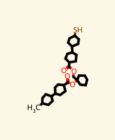 CC1CCC(C2CCC(C(=O)OC3(COC(=O)C4CCC(C5CCC(S)CC5)CC4)CCCCC3)CC2)CC1